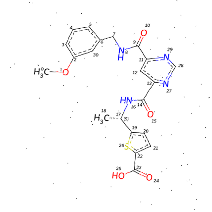 COc1cccc(CNC(=O)c2cc(C(=O)N[C@@H](C)c3ccc(C(=O)O)s3)ncn2)c1